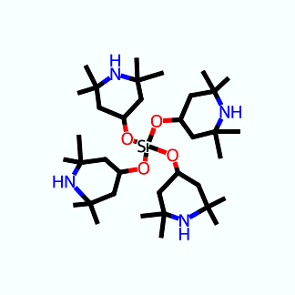 CC1(C)CC(O[Si](OC2CC(C)(C)NC(C)(C)C2)(OC2CC(C)(C)NC(C)(C)C2)OC2CC(C)(C)NC(C)(C)C2)CC(C)(C)N1